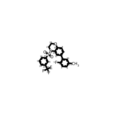 Cc1ccc(F)c(-c2ccc3c(c2)N(S(=O)(=O)c2cccc(C(F)(F)F)c2)CCO3)c1